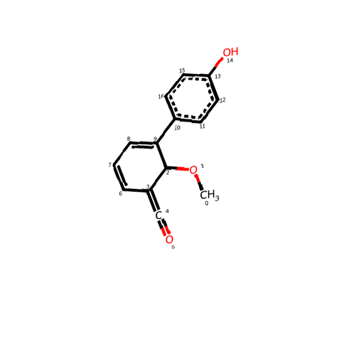 COC1C(=C=O)C=CC=C1c1ccc(O)cc1